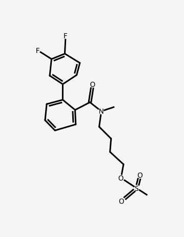 CN(CCCCOS(C)(=O)=O)C(=O)c1ccccc1-c1ccc(F)c(F)c1